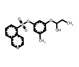 CCC(O)Oc1cc(C)cc(OS(=O)(=O)c2cccc3cnccc23)c1